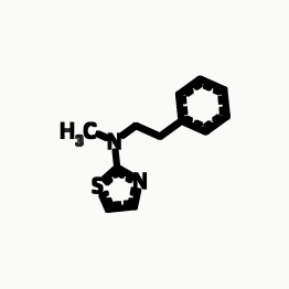 CN(CCc1ccccc1)c1nccs1